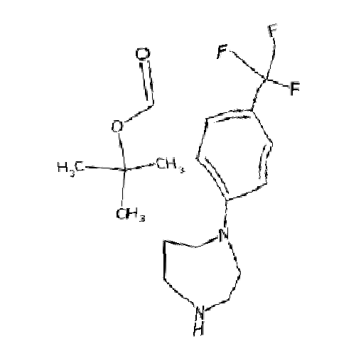 CC(C)(C)OC=O.FC(F)(F)c1ccc(N2CCNCC2)cc1